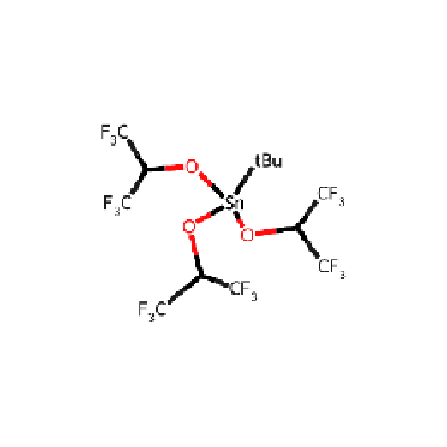 C[C](C)(C)[Sn]([O]C(C(F)(F)F)C(F)(F)F)([O]C(C(F)(F)F)C(F)(F)F)[O]C(C(F)(F)F)C(F)(F)F